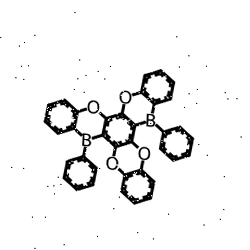 c1ccc(B2c3ccccc3Oc3c4c(c5c(c32)Oc2ccccc2O5)B(c2ccccc2)c2ccccc2O4)cc1